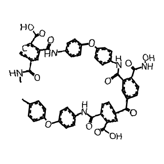 CNC(=O)c1ccc(C(=O)O)c(C(=O)Nc2ccc(Oc3ccc(NC(=O)c4cc(C(=O)c5ccc(C(=O)Nc6ccc(Oc7ccc(C)cc7)cc6)c(C(=O)O)c5)ccc4C(=O)NO)cc3)cc2)c1